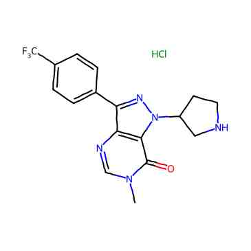 Cl.Cn1cnc2c(-c3ccc(C(F)(F)F)cc3)nn(C3CCNC3)c2c1=O